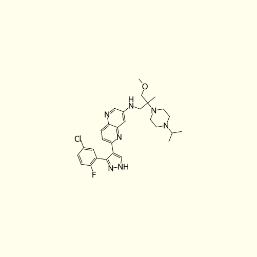 COCC(C)(CNc1cnc2ccc(-c3c[nH]nc3-c3cc(Cl)ccc3F)nc2c1)N1CCN(C(C)C)CC1